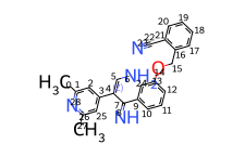 Cc1cc(/C(=C/N)C(=N)c2cccc(OCc3ccccc3C#N)c2)cc(C)n1